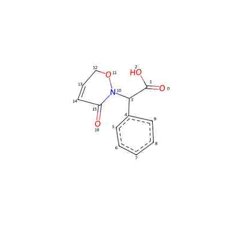 O=C(O)C(c1ccccc1)N1OCC=CC1=O